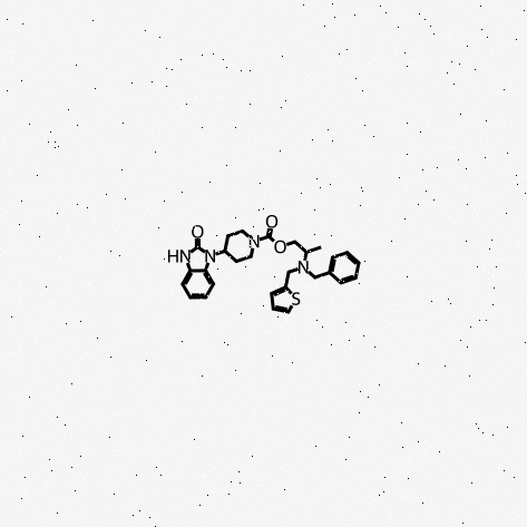 CC(COC(=O)N1CCC(n2c(=O)[nH]c3ccccc32)CC1)N(Cc1ccccc1)Cc1cccs1